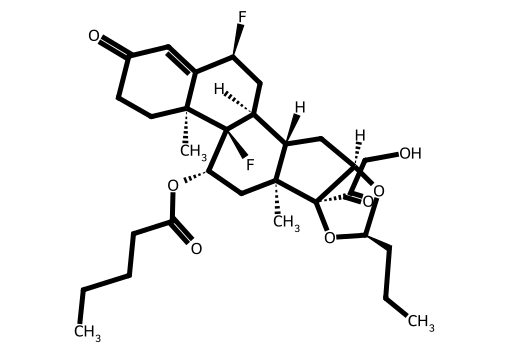 CCCCC(=O)O[C@H]1C[C@@]2(C)[C@@H](C[C@H]3O[C@@H](CCC)O[C@]32C(=O)CO)[C@@H]2C[C@H](F)C3=CC(=O)CC[C@]3(C)[C@@]12F